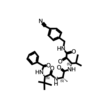 CC(C)[C@H](NC(=O)[C@H](C)NC(=O)[C@@H](NC(=O)c1ccccc1)C(C)(C)C)C(=O)C(=O)NCc1ccc(C#N)cc1